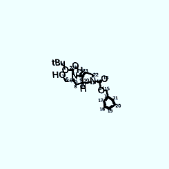 CC(C)(C)OC(=O)N1[C@H](CO)C[C@@H]2CN(C(=O)OCc3ccccc3)CC[C@@H]21